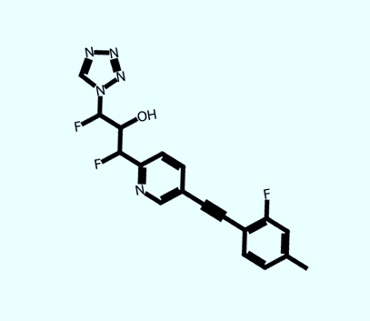 Cc1ccc(C#Cc2ccc(C(F)C(O)C(F)n3cnnn3)nc2)c(F)c1